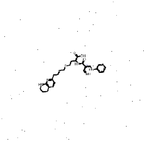 N=C/C(=C\Nc1ccccc1)C(=O)NC(CCOCCCCc1ccc2c(n1)NCCC2)C(=O)O